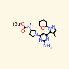 Cc1cnn(C2CCCCO2)c1-c1cc(N2CC[C@@H](N(C)C(=O)OC(C)(C)C)C2)nc(N)n1